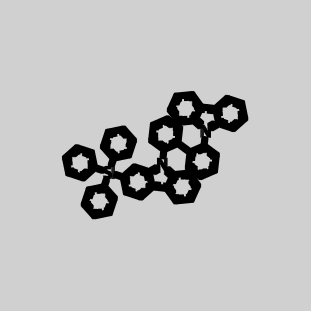 c1ccc([Si](c2ccccc2)(c2ccccc2)c2ccc3c4ccccc4n(-c4ccccc4-c4ccccc4-n4c5ccccc5c5ccccc54)c3c2)cc1